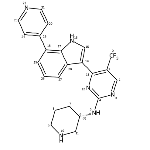 FC(F)(F)c1cnc(N[C@H]2CCCNC2)nc1-c1c[nH]c2c(-c3ccncc3)cccc12